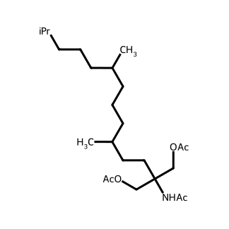 CC(=O)NC(CCC(C)CCCC(C)CCCC(C)C)(COC(C)=O)COC(C)=O